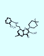 Cc1cc(CCNc2ccccc2C(=O)O)c2oc(N3CCC(C)(C)CC3)c(C=O)c(=O)c2c1